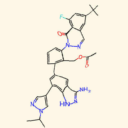 CC(=O)OCc1c(-c2cc(-c3cnn(C(C)C)c3)c3[nH]nc(N)c3c2)cccc1-n1ncc2cc(C(C)(C)C)cc(F)c2c1=O